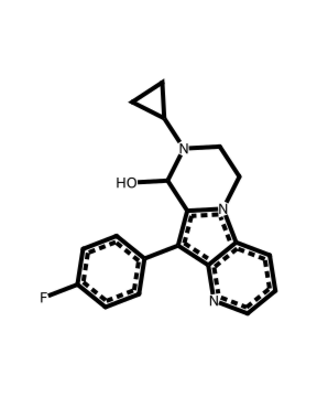 OC1c2c(-c3ccc(F)cc3)c3ncccc3n2CCN1C1CC1